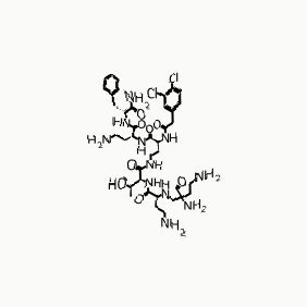 C[C@@H](O)[C@H](NC(=O)[C@H](CCN)NC[C@](N)(C=O)CCN)C(=O)NCC[C@H](NC(=O)Cc1ccc(Cl)c(Cl)c1)C(=O)N[C@@H](CCN)C(=O)N[C@H](Cc1ccccc1)C(N)=O